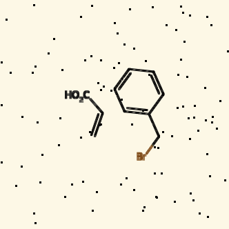 BrCc1ccccc1.C=CC(=O)O